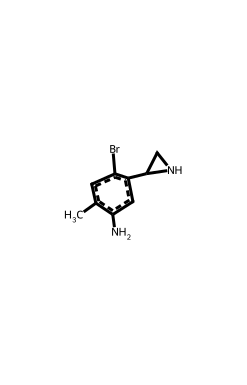 Cc1cc(Br)c(C2CN2)cc1N